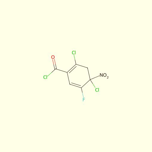 O=C(Cl)C1=C(Cl)CC(Cl)([N+](=O)[O-])C(F)=C1